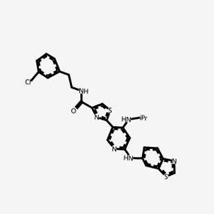 CC(C)Nc1cc(Nc2ccc3ncsc3c2)ncc1-c1nc(C(=O)NCCc2cccc(Cl)c2)cs1